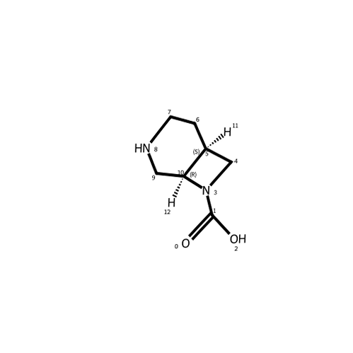 O=C(O)N1C[C@@H]2CCNC[C@@H]21